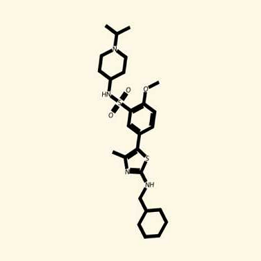 COc1ccc(-c2sc(NCC3CCCCC3)nc2C)cc1S(=O)(=O)NC1CCN(C(C)C)CC1